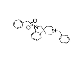 O=S(=O)(Cc1ccccc1)N1CC2(CCN(Cc3ccccc3)CC2)c2ccccc21